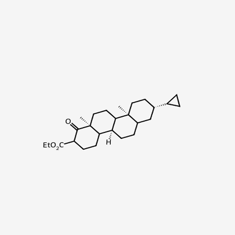 CCOC(=O)C1CCC2[C@@H]3CCC4C[C@@H](C5CC5)CC[C@]4(C)C3CC[C@]2(C)C1=O